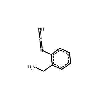 N=C=Nc1ccccc1CN